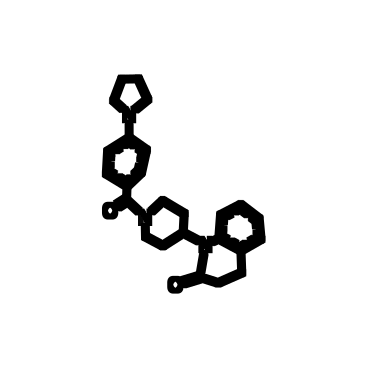 O=C(c1ccc(N2CCCC2)cc1)N1CCC(N2C(=O)CCc3ccccc32)CC1